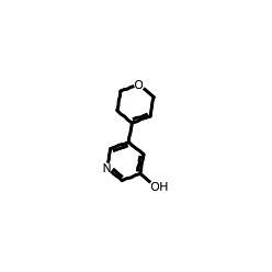 Oc1cncc(C2=CCOCC2)c1